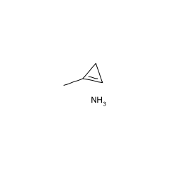 CC1=CC1.N